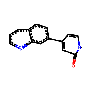 O=C1C=C(c2ccc3cccnc3c2)C=C[N]1